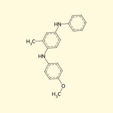 COc1ccc(Nc2ccc(Nc3ccccc3)cc2C)cc1